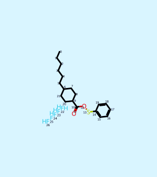 CCCCCCC1CCC(C(=O)OSc2ccccc2)CC1.F.F.F.F.F